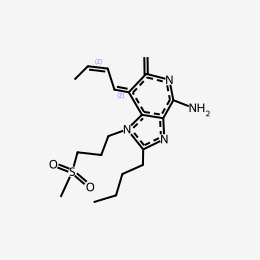 C=c1nc(N)c2nc(CCCC)n(CCCS(C)(=O)=O)c2/c1=C/C=C\C